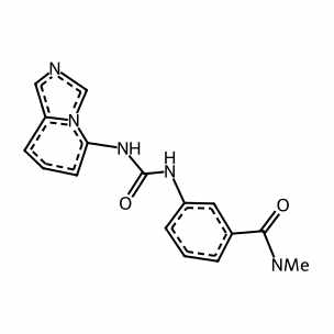 CNC(=O)c1cccc(NC(=O)Nc2cccc3cncn23)c1